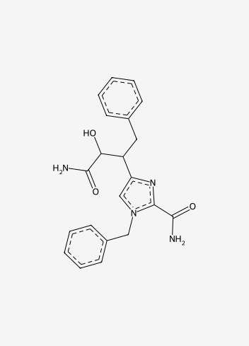 NC(=O)c1nc(C(Cc2ccccc2)C(O)C(N)=O)cn1Cc1ccccc1